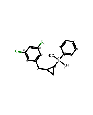 C[Si](C)(c1ccccc1)C1CC1Cc1cc(Br)cc(Br)c1